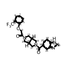 O=C(COc1ccccc1C(F)(F)F)N1C[C@@H]2CN(C(=O)c3ccc4[nH]nnc4c3)C[C@H]2C1